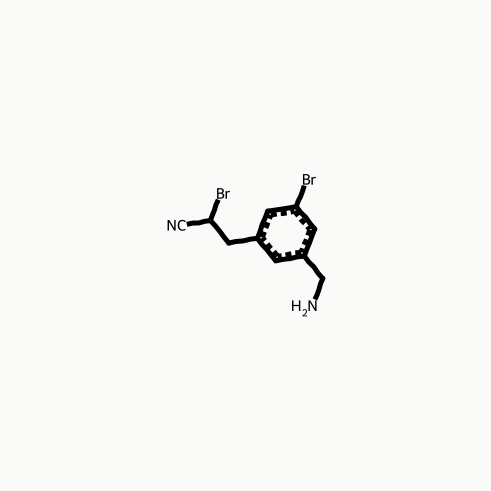 N#CC(Br)Cc1cc(Br)cc(CN)c1